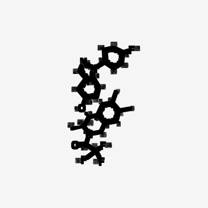 Cc1cc2c(cc1C)[C@@H](Oc1ccc3c(cnn3-c3ccc(F)cc3)c1)[C@H](C)N(C(=O)C(F)(F)F)C2